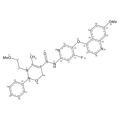 COCCN1C(C)=C(C(=O)Nc2cc(F)c(Oc3ccnc4cc(OC)ccc34)cn2)CON1c1ccccc1